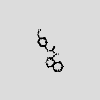 C=C(Nc1nncc2ccccc12)Oc1ccc(OCC)cc1